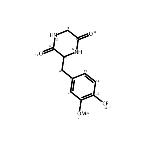 COc1cc(CC2NC(=O)CNC2=O)ccc1C(F)(F)F